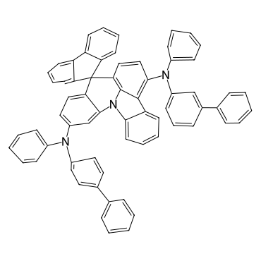 c1ccc(-c2ccc(N(c3ccccc3)c3ccc4c(c3)-n3c5ccccc5c5c(N(c6ccccc6)c6cccc(-c7ccccc7)c6)ccc(c53)C43c4ccccc4-c4ccccc43)cc2)cc1